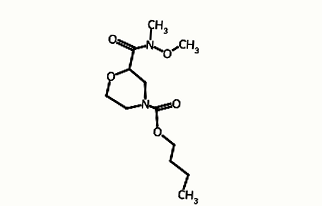 CCCCOC(=O)N1CCOC(C(=O)N(C)OC)C1